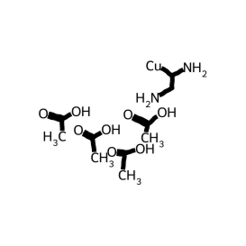 CC(=O)O.CC(=O)O.CC(=O)O.CC(=O)O.NC[CH](N)[Cu]